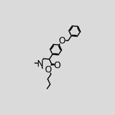 CCCCOC(=O)C(CN(C)C)c1ccc(OCc2ccccc2)cc1